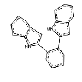 c1cnc(-c2cc3ccccc3[nH]2)c(-c2cc3ccccc3[nH]2)c1